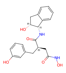 O=C(C[C@@H](Cc1cccc(O)c1)C(=O)N[C@H]1c2ccccc2C[C@H]1O)NO